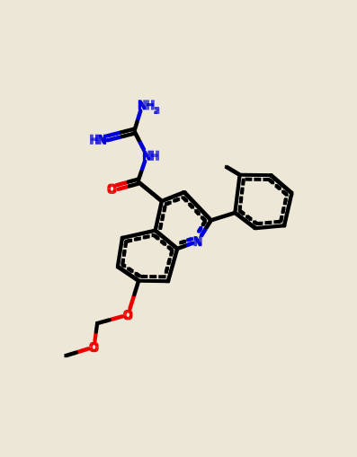 COCOc1ccc2c(C(=O)NC(=N)N)cc(-c3ccccc3C)nc2c1